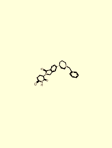 O=C1CC[C@@H](N2Cc3cc([C@@H]4CCCN(Cc5ccccc5)CC4)ccc3C2=O)C(=O)N1